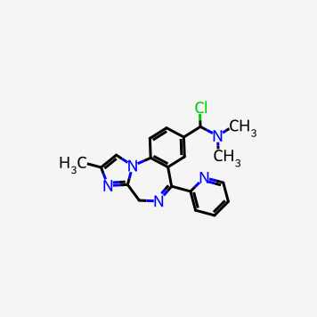 Cc1cn2c(n1)CN=C(c1ccccn1)c1cc(C(Cl)N(C)C)ccc1-2